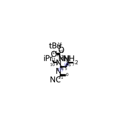 C=C(C#N)/N=C(\C=C(\C)N)N(CC(C)C)NC(=O)OC(C)(C)C